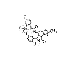 Cn1cc2cc(NC(=O)N3C[C@@](O)(C(F)(F)F)c4cc(F)ccc43)c3c(c2n1)C(=O)NC3c1cc(F)ccc1Cl